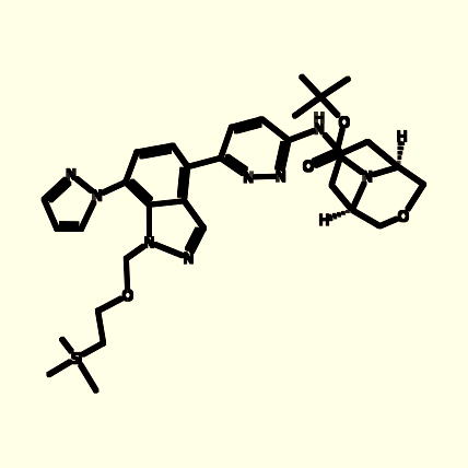 CC(C)(C)OC(=O)N1[C@@H]2COC[C@H]1CC(Nc1ccc(-c3ccc(-n4cccn4)c4c3cnn4COCC[Si](C)(C)C)nn1)C2